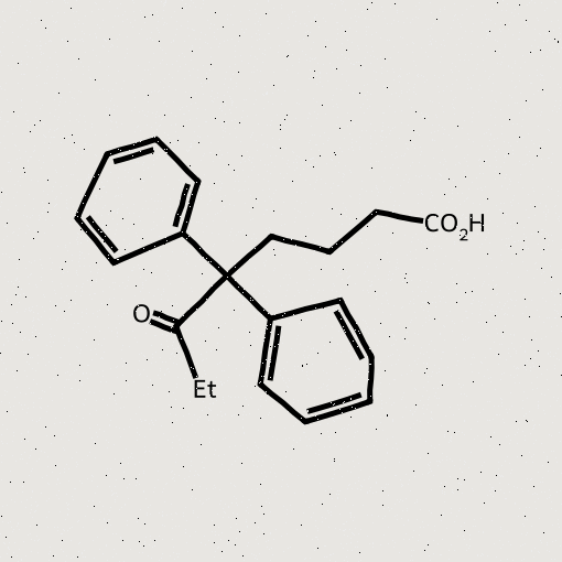 CCC(=O)C(CCCC(=O)O)(c1ccccc1)c1ccccc1